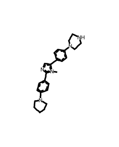 Cn1c(-c2ccc(N3CCNCC3)cc2)cnc1-c1ccc(N2CCCCC2)cc1